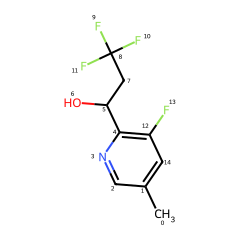 Cc1cnc(C(O)CC(F)(F)F)c(F)c1